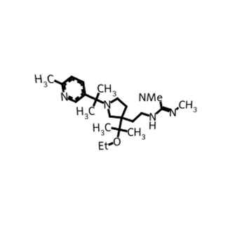 CCOC(C)(C)C1(CCN/C(=N/C)NC)CCN(C(C)(C)c2ccc(C)nc2)C1